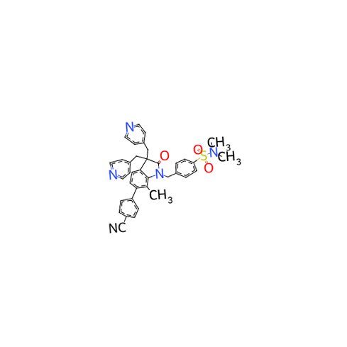 Cc1c(-c2ccc(C#N)cc2)ccc2c1N(Cc1ccc(S(=O)(=O)N(C)C)cc1)C(=O)C2(Cc1ccncc1)Cc1ccncc1